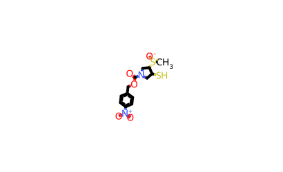 C[S+]([O-])C1CN(C(=O)OCc2ccc([N+](=O)[O-])cc2)CC1S